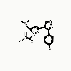 CC(C)NC(=O)n1nc(-c2conc2-c2ccc(F)cc2)cc1CN(C)C